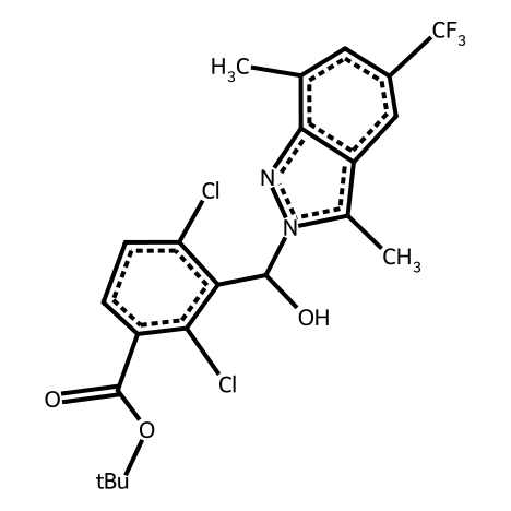 Cc1cc(C(F)(F)F)cc2c(C)n(C(O)c3c(Cl)ccc(C(=O)OC(C)(C)C)c3Cl)nc12